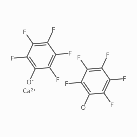 [Ca+2].[O-]c1c(F)c(F)c(F)c(F)c1F.[O-]c1c(F)c(F)c(F)c(F)c1F